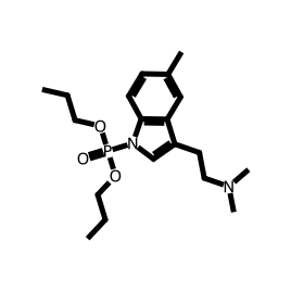 CCCOP(=O)(OCCC)n1cc(CCN(C)C)c2cc(C)ccc21